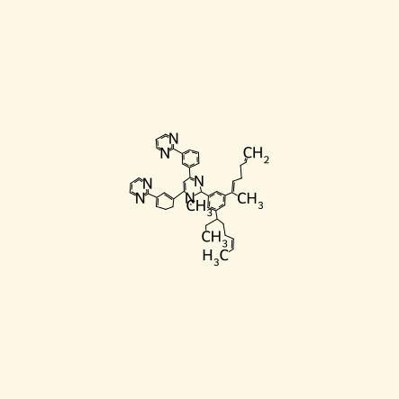 C=CCC/C=C(\C)c1cc(C(CC)CC/C=C\C)cc(C2N=C(c3cccc(-c4ncccn4)c3)C=C(C3=CC(c4ncccn4)=CCC3)N2C)c1